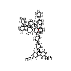 CCCc1ccc2c(c1)c1cc(CCC)ccc1n2-c1ccc(-c2ccc(-c3ccc(N(c4ccc5c(c4)C4(c6ccccc6-c6ccccc64)c4ccccc4-5)c4cc(-c5ccccc5)ccc4-c4ccccc4)cc3)cc2)cc1